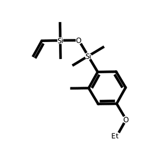 C=C[Si](C)(C)O[Si](C)(C)c1ccc(OCC)cc1C